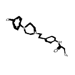 N#CCC(=O)NC1CCC(CCN2CCN(c3ccc(Cl)cc3)CC2)CC1